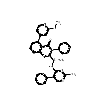 COc1cc(-c2cccc3nc([C@H](C)Nc4nc(N)ncc4-c4ccccn4)n(-c4ccccc4)c(=O)c23)ccn1